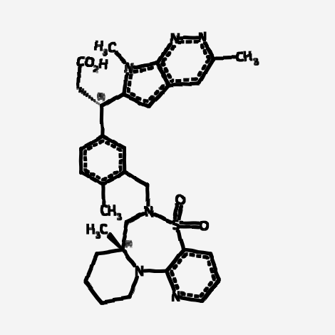 Cc1cc2cc([C@@H](CC(=O)O)c3ccc(C)c(CN4C[C@@]5(C)CCCCN5c5ncccc5S4(=O)=O)c3)n(C)c2nn1